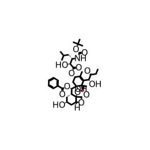 CCC(=O)[C@H](O)C1=C(C)[C@@H](OC(=O)[C@H](O)[C@H](CC(C)C)NC(=O)OC(C)(C)C)C[C@@](O)([C@@H](OC(=O)c2ccccc2)[C@H]2C[C@@H](O)C[C@H]3OC[C@@]23OC(C)=O)C1(C)C